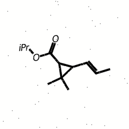 CC=CC1C(C(=O)OC(C)C)C1(C)C